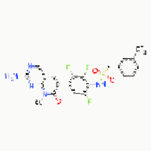 CCn1c(=O)c(-c2cc(F)c(NS(=O)(=O)Cc3cccc(C(F)(F)F)c3)c(F)c2F)cc2cnc(N)nc21